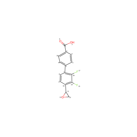 O=C(O)c1ccc(-c2ccc(C3CO3)c(F)c2F)cc1